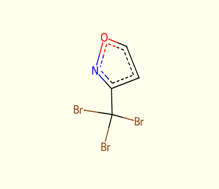 BrC(Br)(Br)c1ccon1